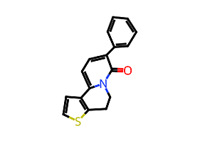 O=c1c(-c2ccccc2)ccc2n1CCc1sccc1-2